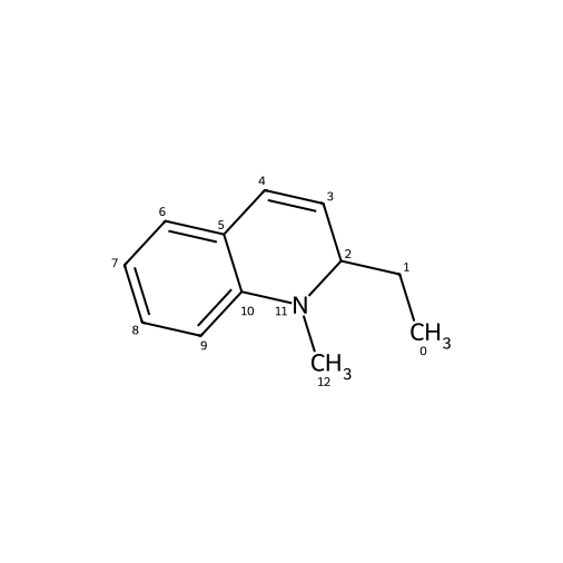 CCC1C=Cc2ccccc2N1C